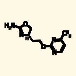 NC1=N[C@@H](CCOc2nccc(C(F)(F)F)n2)CO1